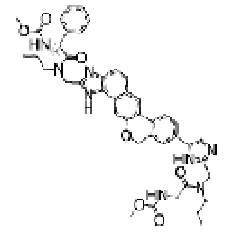 CCCN(Cc1ncc(-c2ccc3c(c2)COc2cc4c(ccc5nc(CN(CCC)C(=O)[C@H](NC(=O)OC)c6ccccc6)[nH]c54)cc2-3)[nH]1)C(=O)CNC(=O)OC